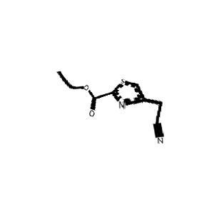 CCOC(=O)c1nc(CC#N)cs1